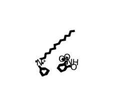 CCCCCCCCCCCCCC[N+](C)(C)Cc1ccccc1.O=C1NS(=O)(=O)c2ccccc21